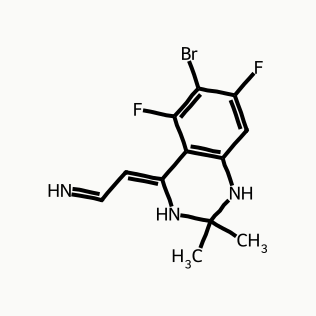 CC1(C)N/C(=C\C=N)c2c(cc(F)c(Br)c2F)N1